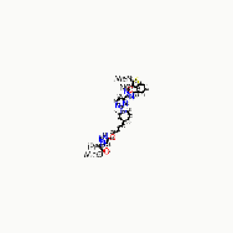 CNc1sc2c(c1C#N)[C@@](C)(c1nc(-c3ccnc(N4CCC/C(=C/CCCOc5cn(C(C(=O)OC)C(C)C)nn5)C[C@@H]4C)n3)no1)CCC2